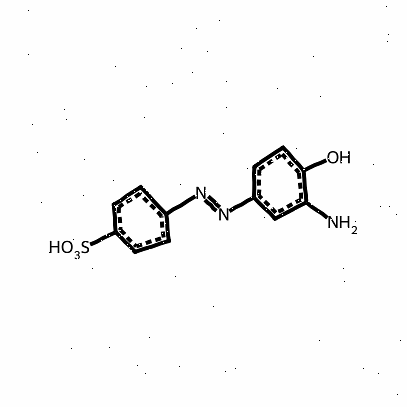 Nc1cc(N=Nc2ccc(S(=O)(=O)O)cc2)ccc1O